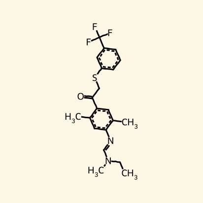 CCN(C)C=Nc1cc(C)c(C(=O)CSc2cccc(C(F)(F)F)c2)cc1C